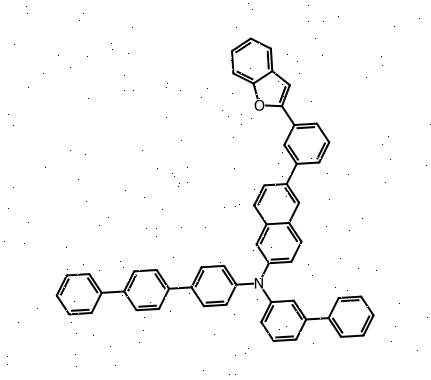 c1ccc(-c2ccc(-c3ccc(N(c4cccc(-c5ccccc5)c4)c4ccc5cc(-c6cccc(-c7cc8ccccc8o7)c6)ccc5c4)cc3)cc2)cc1